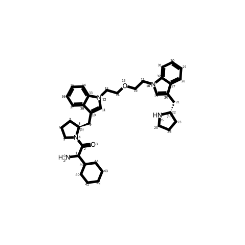 NC(C(=O)N1CCC[C@H]1Cc1cn(CCOCCn2cc(C[C@@H]3CCCN3)c3ccccc32)c2ccccc12)C1CCCCC1